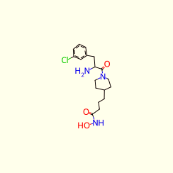 NC(Cc1cccc(Cl)c1)C(=O)N1CCC(CCCC(=O)NO)CC1